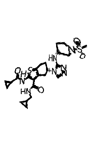 CS(=O)(=O)N1CC[C@@H](Nc2nncn2[C@H]2CCc3sc(NC(=O)C4CC4)c(C(=O)NCC4CC4)c3C2)C1